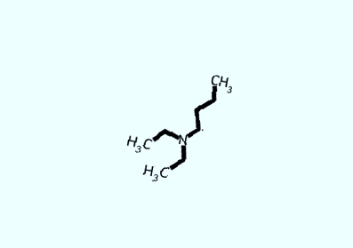 CCC[CH]N(CC)CC